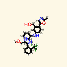 COCc1c(-c2ccccc2C(F)(F)F)nc2c(Nc3ccc(-c4cnc(C)o4)c(CO)c3)cccn12